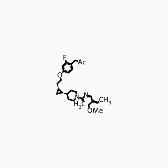 C=C(/N=C\C(=C/C)COC)N1CCC([C@H]2C[C@H]2CCOc2ccc(CC(C)=O)c(F)c2)CC1